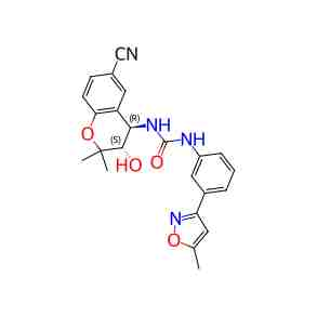 Cc1cc(-c2cccc(NC(=O)N[C@@H]3c4cc(C#N)ccc4OC(C)(C)[C@H]3O)c2)no1